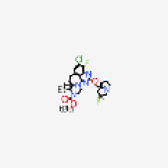 CC[C@H]1[C@H]2CCc3cc(Cl)c(F)c4nc(OC[C@@]56CCCN5C[C@H](F)C6)nc(c34)N2CCN1C(=O)OC(C)(C)C